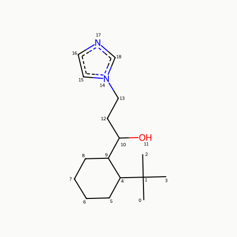 CC(C)(C)C1CCCCC1C(O)CCn1ccnc1